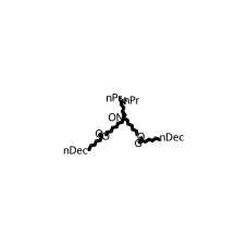 CCCCCCCCCCCCCCCC(=O)OCCCCCCC(CCCCCCOC(=O)CCCCCCCCCCCCCCC)(CCCCN(CCC)CCC)N=O